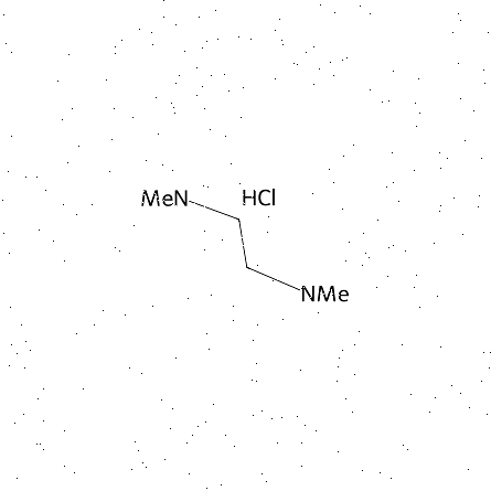 CNCCNC.Cl